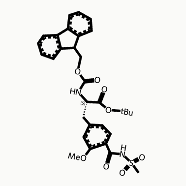 COc1cc(C[C@H](NC(=O)OCC2c3ccccc3-c3ccccc32)C(=O)OC(C)(C)C)ccc1C(=O)NS(C)(=O)=O